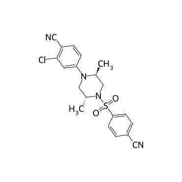 C[C@@H]1CN(c2ccc(C#N)c(Cl)c2)[C@@H](C)CN1S(=O)(=O)c1ccc(C#N)cc1